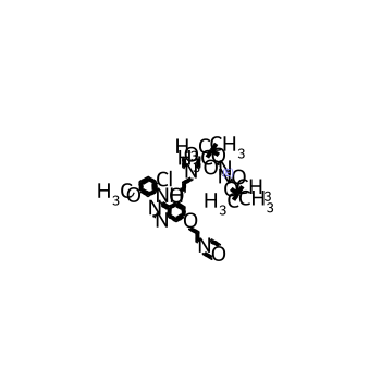 CC(C)(C)OC(=O)/N=N/C(=O)OC(C)(C)C.COc1ccc(Cl)c(Nc2ncnc3cc(OCCCN4CCOCC4)cc(OCCCN4CCOCC4)c23)c1